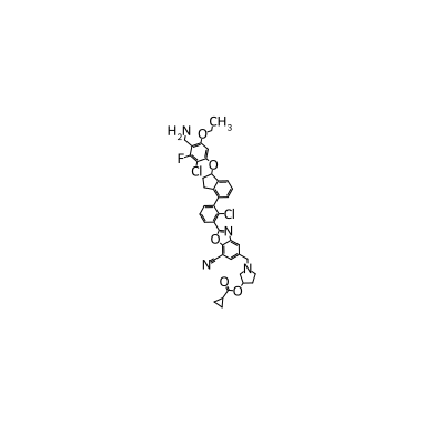 CCOc1cc(OC2CCc3c(-c4cccc(-c5nc6cc(CN7CCC(OC(=O)C8CC8)C7)cc(C#N)c6o5)c4Cl)cccc32)c(Cl)c(F)c1CN